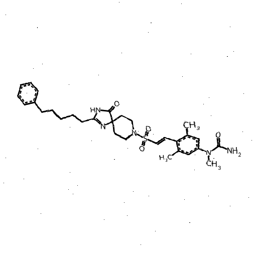 Cc1cc(N(C)C(N)=O)cc(C)c1/C=C/S(=O)(=O)N1CCC2(CC1)N=C(CCCCCc1ccccc1)NC2=O